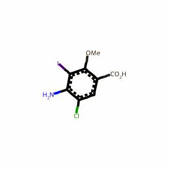 COc1c(C(=O)O)cc(Cl)c(N)c1I